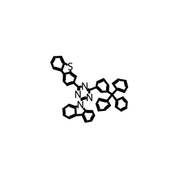 c1ccc(C(c2ccccc2)(c2ccccc2)c2cccc(-c3nc(-c4ccc5c(c4)sc4ccccc45)nc(-n4c5ccccc5c5ccccc54)n3)c2)cc1